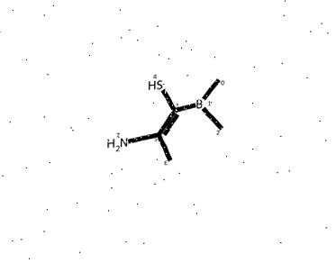 CB(C)/C(S)=C(\C)N